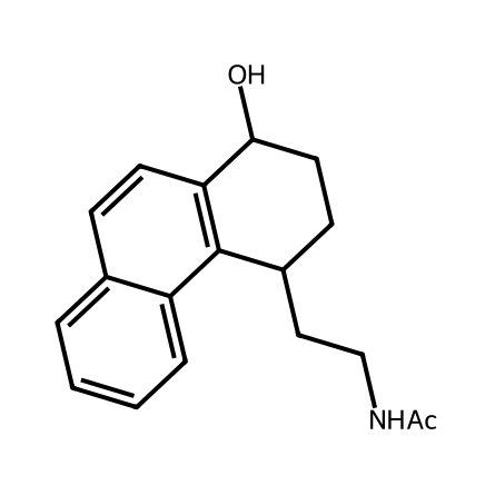 CC(=O)NCCC1CCC(O)c2ccc3ccccc3c21